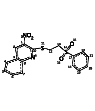 O=[N+]([O-])c1cc2ccccc2nc1SCCS(=O)(=O)c1ccccc1